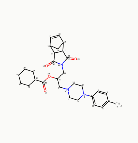 Cc1ccc(N2CCN(CC(CN3C(=O)C4C5C=CC(C5)C4C3=O)OC(=O)C3CCCCC3)CC2)cc1